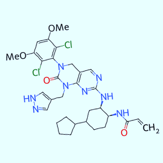 C=CC(=O)N[C@H]1CCC(C2CCCC2)C[C@H]1Nc1ncc2c(n1)N(Cc1cn[nH]c1)C(=O)N(c1c(Cl)c(OC)cc(OC)c1Cl)C2